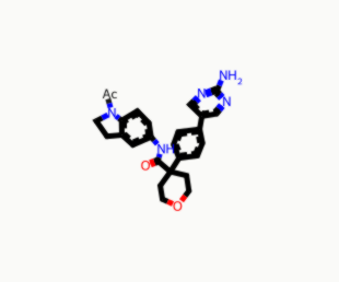 CC(=O)N1CCc2cc(NC(=O)C3(c4ccc(-c5cnc(N)nc5)cc4)CCOCC3)ccc21